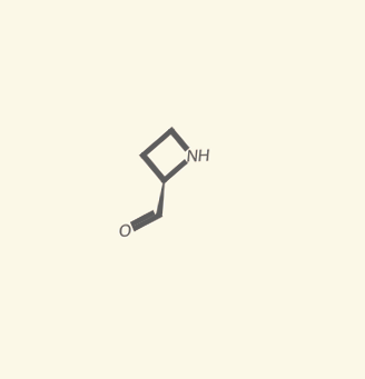 O=C[C@H]1CCN1